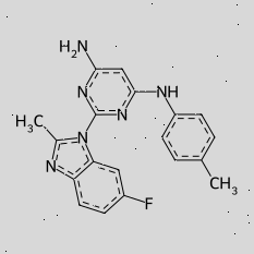 Cc1ccc(Nc2cc(N)nc(-n3c(C)nc4ccc(F)cc43)n2)cc1